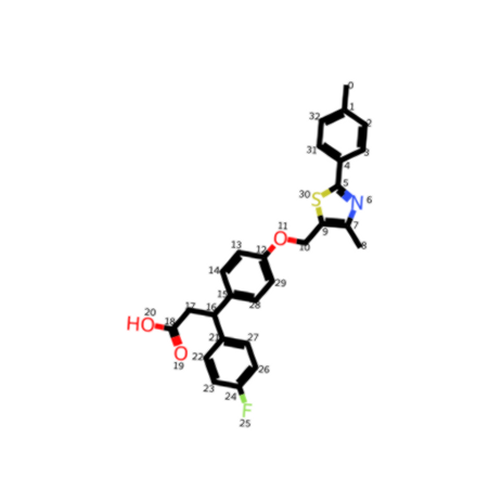 Cc1ccc(-c2nc(C)c(COc3ccc(C(CC(=O)O)c4ccc(F)cc4)cc3)s2)cc1